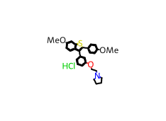 COc1ccc(-c2sc3cc(OC)ccc3c2-c2cccc(OCCN3CCCC3)c2)cc1.Cl